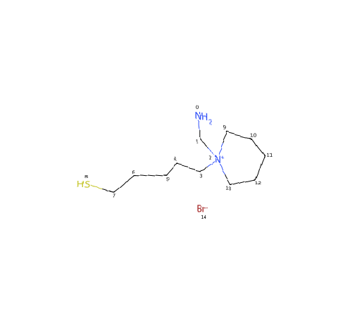 NC[N+]1(CCCCCS)CCCCC1.[Br-]